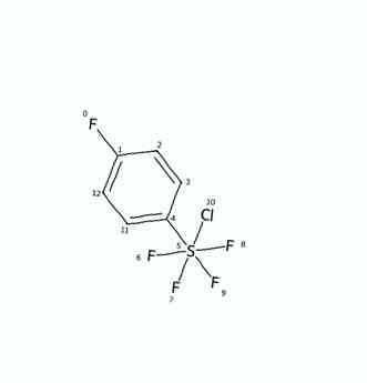 Fc1ccc(S(F)(F)(F)(F)Cl)cc1